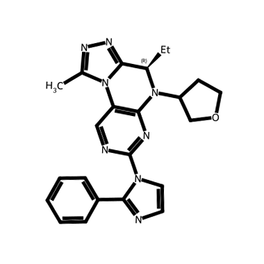 CC[C@@H]1c2nnc(C)n2-c2cnc(-n3ccnc3-c3ccccc3)nc2N1C1CCOC1